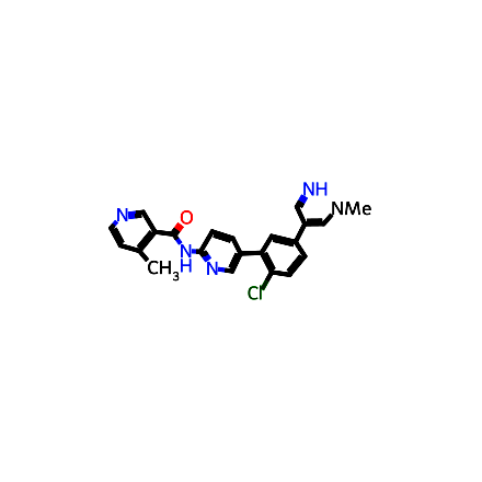 CN/C=C(\C=N)c1ccc(Cl)c(-c2ccc(NC(=O)c3cnccc3C)nc2)c1